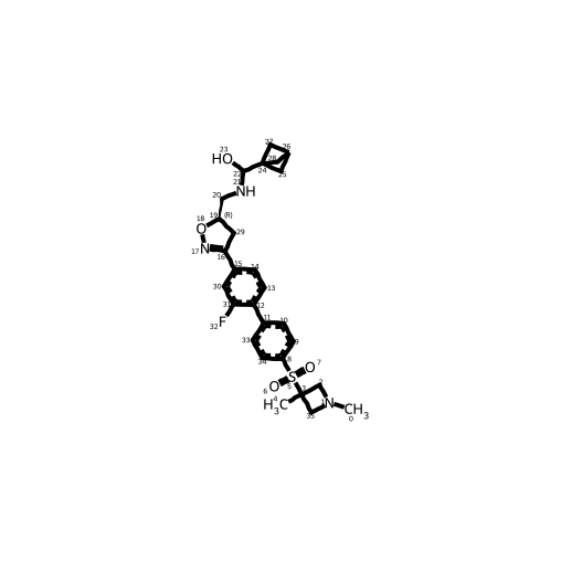 CN1CC(C)(S(=O)(=O)c2ccc(-c3ccc(C4=NO[C@@H](CNC(O)C56CC(C5)C6)C4)cc3F)cc2)C1